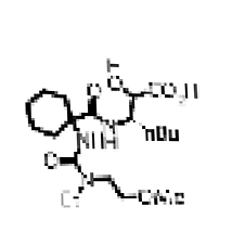 CCCC[C@H](NC(=O)C1(NC(=O)N(CC)CCOC)CCCCC1)C(O)C(=O)O